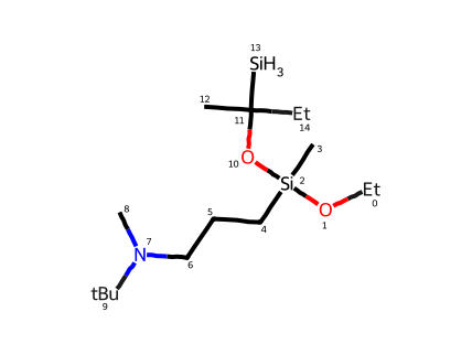 CCO[Si](C)(CCCN(C)C(C)(C)C)OC(C)([SiH3])CC